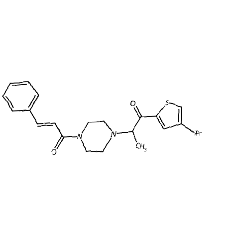 CC(C)c1csc(C(=O)C(C)N2CCN(C(=O)C=Cc3ccccc3)CC2)c1